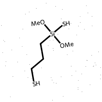 CO[Si](S)(CCCS)OC